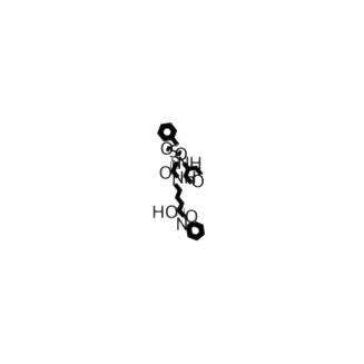 O=C(NCCCC[C@H](O)c1nc2ccccc2o1)[C@H](CS(=O)(=O)Cc1ccccc1)NC1CCOCC1